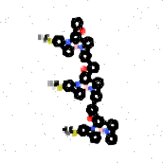 CSc1ccc2c(c1)c1cccc3c1n2-c1cc2c(oc4ccccc42)c2c1B3n1c3ccc(-c4cccc5c4oc4cc6c7c(c45)-c4cccc5c8ccc(-c9ccc%10oc%11c%12c%13c(cc%11c%10c9)-c9cccc%10c%11ccccc%11n(c9%10)B%13c9cccc%10c%11cc(SC)ccc%11n-%12c9%10)cc8n(c45)B7c4cccc5c7cc(SC)ccc7n-6c45)cc3c3cccc-2c31